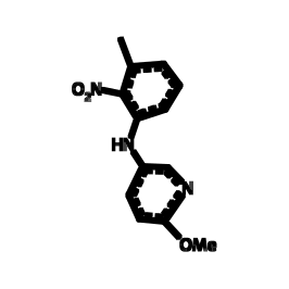 COc1ccc(Nc2cccc(C)c2[N+](=O)[O-])cn1